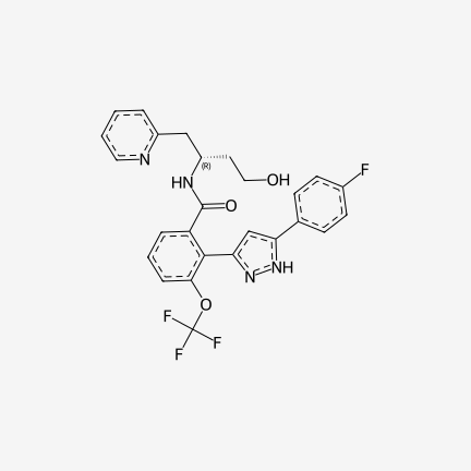 O=C(N[C@@H](CCO)Cc1ccccn1)c1cccc(OC(F)(F)F)c1-c1cc(-c2ccc(F)cc2)[nH]n1